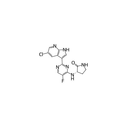 O=C1NCC[C@@H]1Nc1nc(-c2c[nH]c3ncc(Cl)cc23)ncc1F